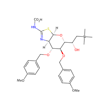 COc1ccc(CO[C@H]2[C@H](OCc3ccc(OC)cc3)[C@H]3N=C(NC(=O)O)S[C@H]3O[C@@H]2[C@@H](O)C[Si](C)(C)C)cc1